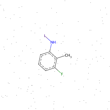 Cc1c(F)cccc1NI